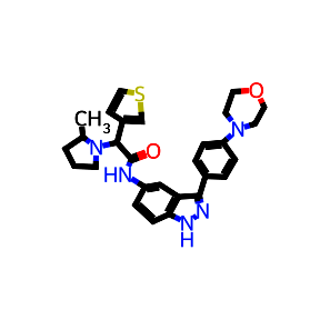 CC1CCCN1C(C(=O)Nc1ccc2[nH]nc(-c3ccc(N4CCOCC4)cc3)c2c1)c1ccsc1